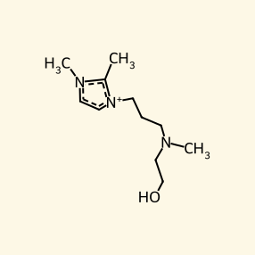 Cc1n(C)cc[n+]1CCCN(C)CCO